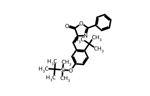 CC(C)(C)c1ccc(O[Si](C)(C)C(C)(C)C)cc1C=C1N=C(c2ccccc2)OC1=O